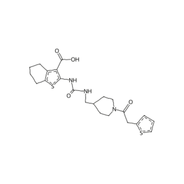 O=C(NCC1CCN(C(=O)Cc2cccs2)CC1)Nc1sc2c(c1C(=O)O)CCCC2